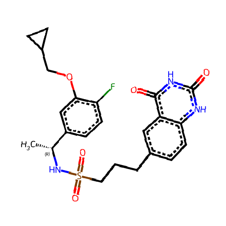 C[C@@H](NS(=O)(=O)CCCc1ccc2[nH]c(=O)[nH]c(=O)c2c1)c1ccc(F)c(OCC2CC2)c1